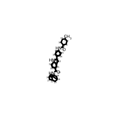 CC1CCC(C(=O)Nc2ccc(-c3cc4cc(C(=O)NC56CC7CC(CC(C7)C5)C6)ccc4[nH]3)cc2)CC1